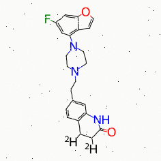 [2H]C1C(=O)Nc2cc(CCN3CCN(c4cc(F)cc5occc45)CC3)ccc2C1[2H]